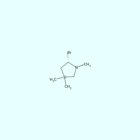 CC(C)[C@H]1C[Si](C)(C)CN1C